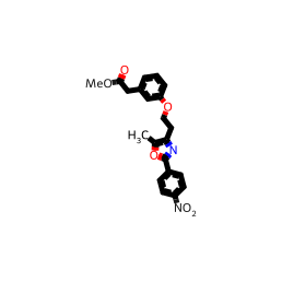 COC(=O)Cc1cccc(OCCc2nc(-c3ccc([N+](=O)[O-])cc3)oc2C)c1